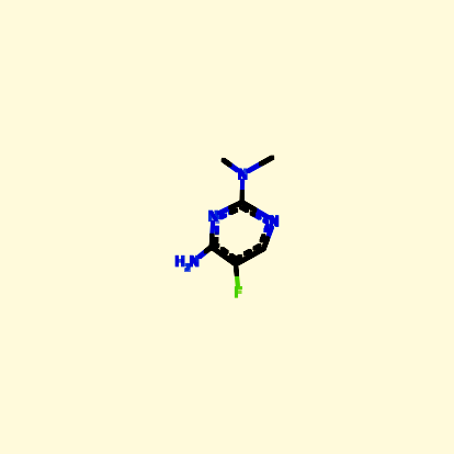 CN(C)c1ncc(F)c(N)n1